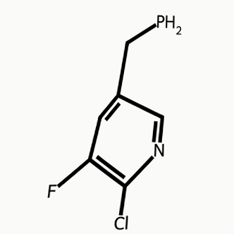 Fc1cc(CP)cnc1Cl